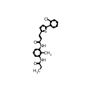 CCC(=O)Nc1cccc(NC(=O)/C=C/c2ccc(-c3ccccc3Cl)s2)c1C